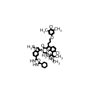 Cc1cc(OCCCc2c3n(c4c(-c5c(C)nn(C)c5C)c(Cl)ccc24)[C@H](C)CN(c2cn(C)c4ccc(C(=N)OC(=N)C5CCCCC5)cc24)C3=O)cc(C)c1Cl